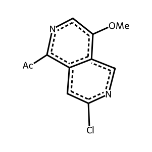 COc1cnc(C(C)=O)c2cc(Cl)ncc12